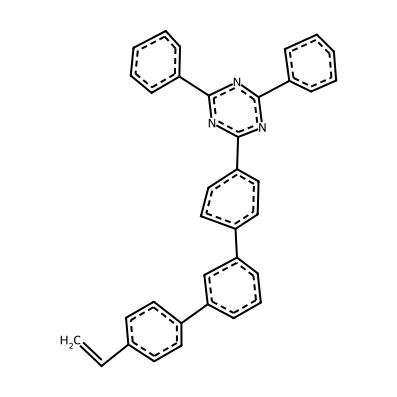 C=Cc1ccc(-c2cccc(-c3ccc(-c4nc(-c5ccccc5)nc(-c5ccccc5)n4)cc3)c2)cc1